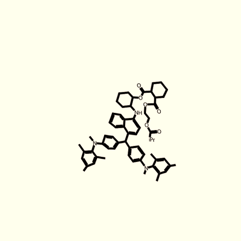 Cc1cc(C)c(N(C)c2ccc(C(c3ccc(N(C)c4c(C)cc(C)cc4C)cc3)c3ccc(NC4CCCCC4OC(=O)C4CCCCC4C(=O)OCCOC(=O)C(C)C)c4ccccc34)cc2)c(C)c1